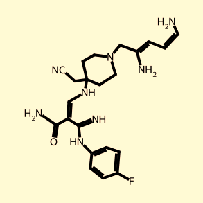 N#CCC1(N/C=C(\C(=N)Nc2ccc(F)cc2)C(N)=O)CCN(C/C(N)=C/C=C\N)CC1